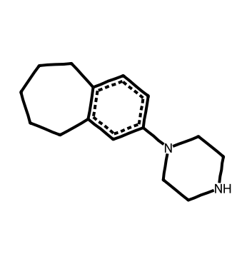 c1cc2c(cc1N1CCNCC1)CCCCC2